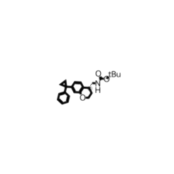 CC(C)(C)OC(=O)NC[C@@H]1CCOc2cc(C3(c4ccccc4)CC3)ccc21